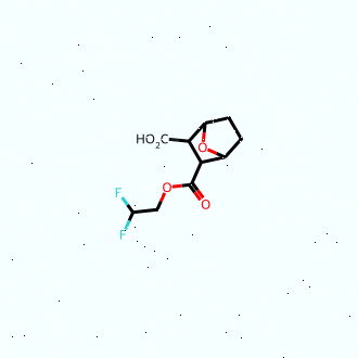 O=C(O)C1C2CCC(O2)C1C(=O)OCC(F)F